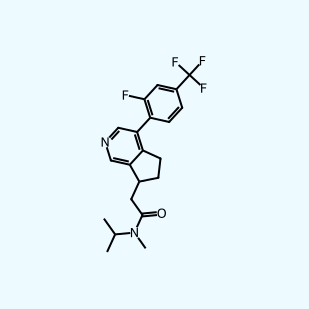 CC(C)N(C)C(=O)CC1CCc2c(-c3ccc(C(F)(F)F)cc3F)cncc21